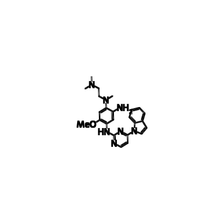 COc1cc(N(C)CCN(C)C)c(N)cc1Nc1nccc(-n2ccc3ccccc32)n1